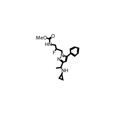 COC(=O)NCC(F)Cn1nc(C(C)NC2CC2)cc1-c1ccccc1